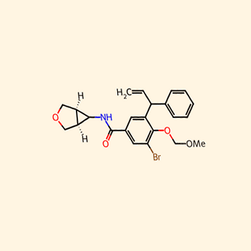 C=CC(c1ccccc1)c1cc(C(=O)NC2[C@H]3COC[C@@H]23)cc(Br)c1OCOC